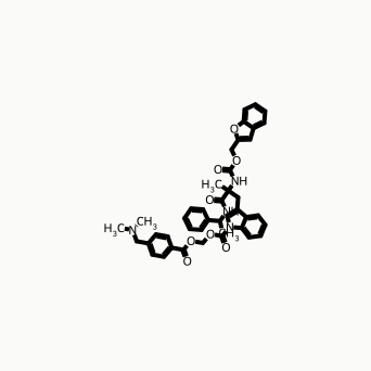 CC(NC(=O)C(C)(Cc1cn(C(=O)OCOC(=O)c2ccc(CN(C)C)cc2)c2ccccc12)NC(=O)OCc1cc2ccccc2o1)c1ccccc1